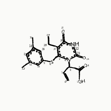 C=CC(C(=O)O)n1c(Sc2cc(C)cc(C)c2)c(CC)c(=O)[nH]c1=O